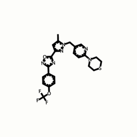 Cc1cc(-c2nc(-c3ccc(OC(F)(F)F)cc3)no2)nn1Cc1ccc(N2CCSCC2)nc1